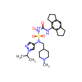 CC(C)n1cc(N(CC2CCN(C)CC2)S(=O)(=O)[NH+]([O-])C(=O)Nc2c3c(cc4c2CCC4)CCC3)cn1